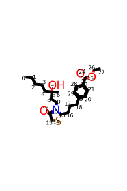 CCCCCC(C)(O)CCN1C(=O)CSC1CCCc1ccc(C(=O)OCC)cc1